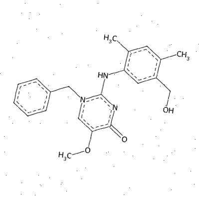 COc1cn(Cc2ccccc2)c(Nc2cc(CO)c(C)cc2C)nc1=O